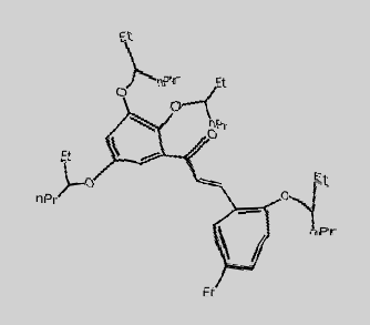 CCCC(CC)Oc1cc(OC(CC)CCC)c(OC(CC)CCC)c(C(=O)C=Cc2cc(CC)ccc2OC(CC)CCC)c1